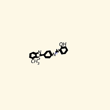 Cc1cccc2nc(-c3ccc(/N=N/c4ccccc4O)cc3)sc12